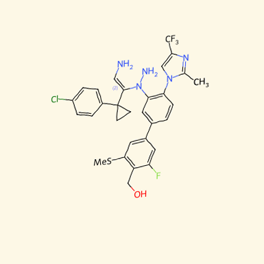 CSc1cc(-c2ccc(-n3cc(C(F)(F)F)nc3C)c(N(N)/C(=C\N)C3(c4ccc(Cl)cc4)CC3)c2)cc(F)c1CO